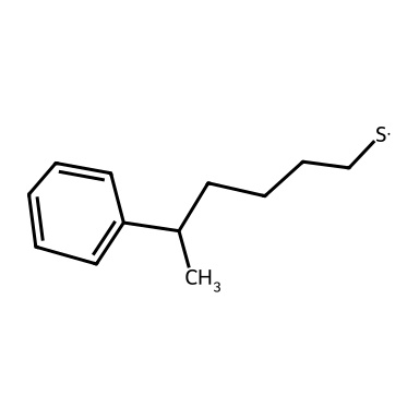 CC(CCCC[S])c1ccccc1